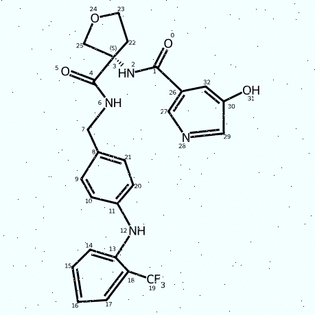 O=C(N[C@@]1(C(=O)NCc2ccc(Nc3ccccc3C(F)(F)F)cc2)CCOC1)c1cncc(O)c1